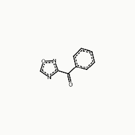 O=C(c1ccccc1)c1ncon1